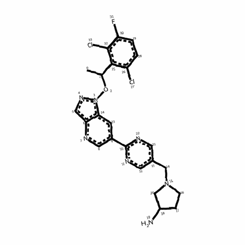 CC(On1ncc2ncc(-c3ncc(CN4CCC(N)C4)cn3)cc21)c1c(Cl)ccc(F)c1Cl